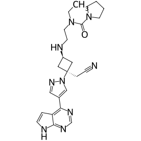 CCN(CCN[C@H]1C[C@@](CC#N)(n2cc(-c3ncnc4[nH]ccc34)cn2)C1)C(=O)N1CCCC1